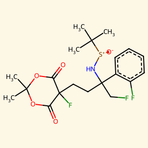 CC1(C)OC(=O)C(F)(CCC(CF)(N[S@+]([O-])C(C)(C)C)c2ccccc2F)C(=O)O1